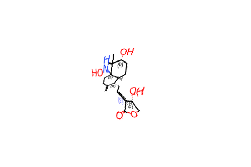 C=C1CC[C@]2(NO)C(C)(C)[C@H](O)CC[C@@]2(C)[C@@H]1C/C=C1/C(=O)OC[C@H]1O